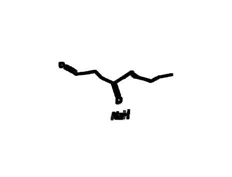 CCCC(=O)CC=O.[NaH]